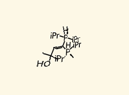 CC(C)[PH](C)(C(=CC(C)(C)O)[PH](C)(C(C)C)C(C)C)C(C)C